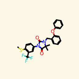 CSc1ccc(N2C(=O)N(Cc3ccccc3Oc3ccccc3)C(C)(C)C2=O)cc1C(F)(F)F